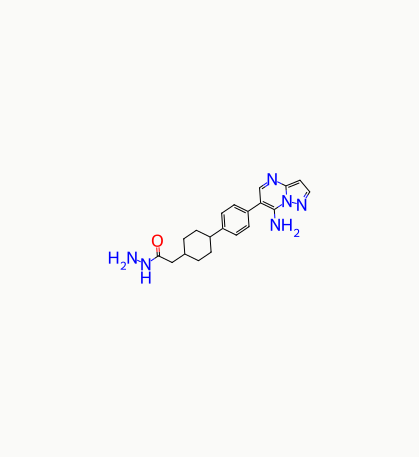 NNC(=O)CC1CCC(c2ccc(-c3cnc4ccnn4c3N)cc2)CC1